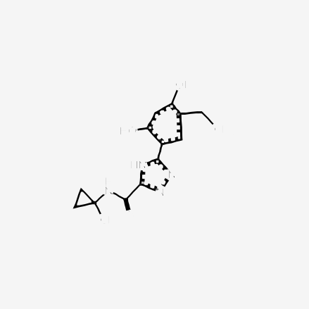 CCc1cc(-c2nnc(C(=O)NC3(C)CC3)[nH]2)c(O)cc1O